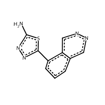 Nc1nnc(-c2cccc3cnncc23)s1